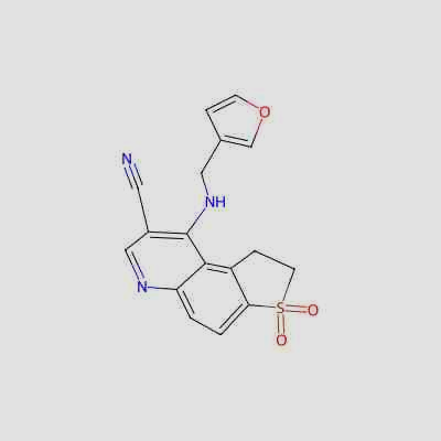 N#Cc1cnc2ccc3c(c2c1NCc1ccoc1)CCS3(=O)=O